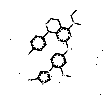 CCN(C)c1nc(Nc2ccc(-n3cnc(Cl)c3)c(OC)c2)nc2c1CCOC2c1ccc(F)cc1